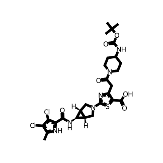 Cc1[nH]c(C(=O)N[C@H]2[C@@H]3CN(c4nc(CC(=O)N5CCC(NC(=O)OC(C)(C)C)CC5)c(C(=O)O)s4)C[C@@H]32)c(Cl)c1Cl